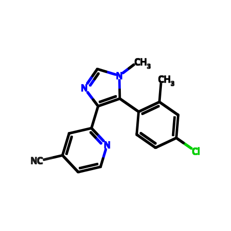 Cc1cc(Cl)ccc1-c1c(-c2cc(C#N)ccn2)ncn1C